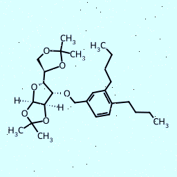 CCCCc1ccc(CO[C@@H]2[C@H]3OC(C)(C)O[C@H]3O[C@@H]2[C@H]2COC(C)(C)O2)cc1CCCC